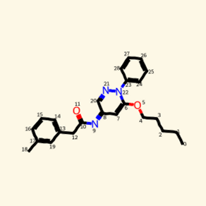 CCCCCOc1cc(=NC(=O)Cc2cccc(C)c2)cnn1-c1ccccc1